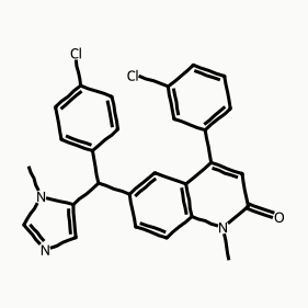 Cn1cncc1C(c1ccc(Cl)cc1)c1ccc2c(c1)c(-c1cccc(Cl)c1)cc(=O)n2C